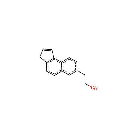 OCCc1ccc2c3c(ccc2c1)CC=C3